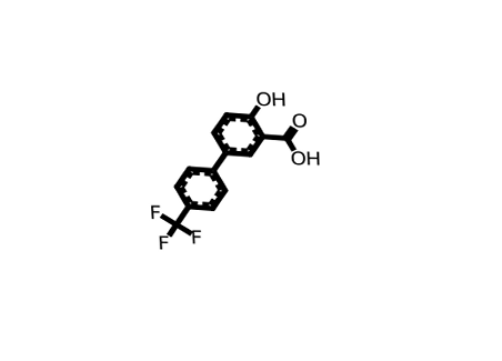 O=C(O)c1cc(-c2ccc(C(F)(F)F)cc2)ccc1O